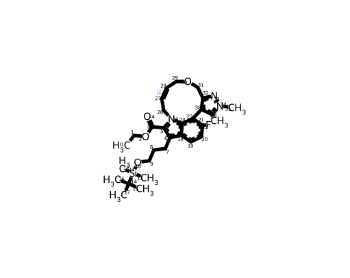 CCOC(=O)c1c(CCCO[Si](C)(C)C(C)(C)C)c2ccc(F)c3c2n1C/C=C\COCc1nn(C)c(C)c1-3